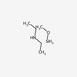 CCNCC.CO[SiH3]